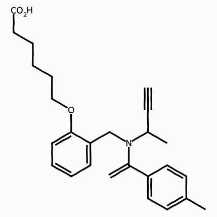 C#CC(C)N(Cc1ccccc1OCCCCCC(=O)O)C(=C)c1ccc(C)cc1